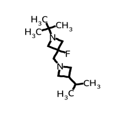 CC(C)C1CN(CC2(F)CN(C(C)(C)C)C2)C1